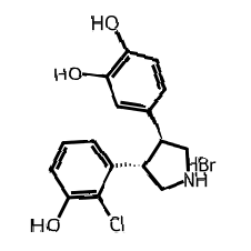 Br.Oc1ccc([C@H]2CNC[C@@H]2c2cccc(O)c2Cl)cc1O